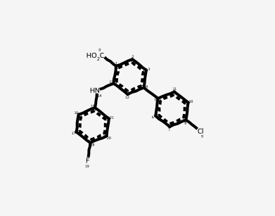 O=C(O)c1ccc(-c2ccc(Cl)cc2)cc1Nc1ccc(F)cc1